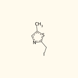 Cc1cnc(CI)s1